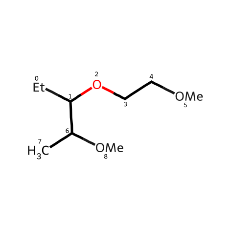 CCC(OCCOC)C(C)OC